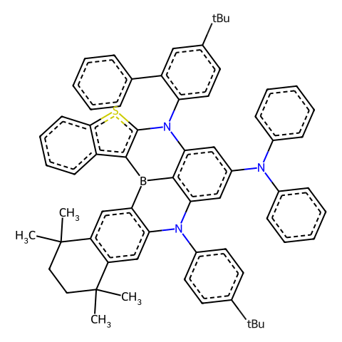 CC(C)(C)c1ccc(N2c3cc4c(cc3B3c5c2cc(N(c2ccccc2)c2ccccc2)cc5N(c2ccc(C(C)(C)C)cc2-c2ccccc2)c2sc5ccccc5c23)C(C)(C)CCC4(C)C)cc1